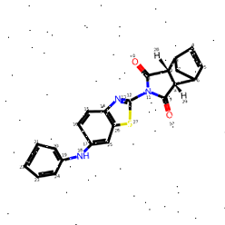 O=C1[C@@H]2C3C=CC(C3)[C@@H]2C(=O)N1c1nc2ccc(Nc3ccccc3)cc2s1